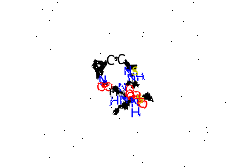 C=C[C@@H]1C[C@]1(NC(=O)[C@@H]1C[C@@H]2CN1C(=O)[C@H](C(C)(C)C)Nc1nc(cs1)CCCCCc1cccc3c1CN(C3)C(=O)O2)C(=O)NS(=O)(=O)C1CC1